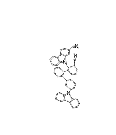 N#Cc1ccc2c3ccccc3n(-c3c(C#N)cccc3-c3ccccc3-c3cccc(-n4c5ccccc5c5ccccc54)c3)c2c1